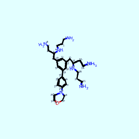 NCCCNC(CCN)Cc1cc(CC(CCN)NCCCN)cc(-c2ccc(N3CCOCC3)cc2)c1